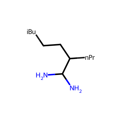 CCCC(CCC(C)CC)C(N)N